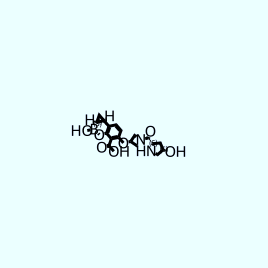 O=C(O)c1c(OC2CN(C(=O)[C@@H]3C[C@H](O)CN3)C2)ccc2c1OB(O)[C@H]1C[C@@H]21